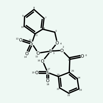 O=C1O[B-]2(OCc3ccccc3S(=O)(=O)O2)OS(=O)(=O)c2ccccc21